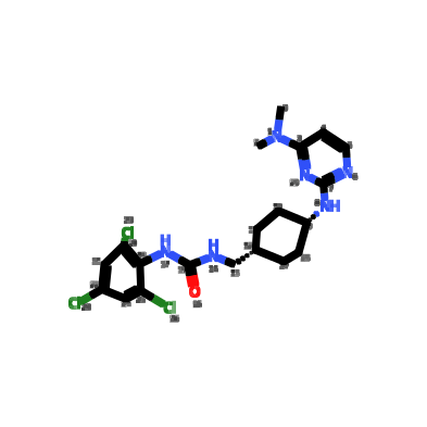 CN(C)c1ccnc(N[C@H]2CC[C@@H](CNC(=O)Nc3c(Cl)cc(Cl)cc3Cl)CC2)n1